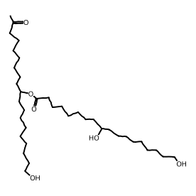 CC(=O)CCCCCCCC(CCCCCCCCCO)OC(=O)CCCCCCCC(O)CCCCCCCCCO